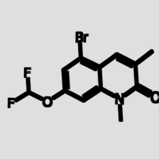 Cc1cc2c(Br)cc(OC(F)F)cc2n(C)c1=O